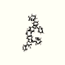 C1=C(c2ccccn2)CCc2c1c1cc3c(cc1n2-c1ccccn1)-c1cc2c(cc1CC3)c1cc(-c3ccccn3)ccc1n2-c1ccccn1